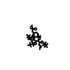 COC(=O)CC1CC[C@@H]2OC([C@H](/C=C/I)O[Si](C)(C)C(C)(C)C)C(O[Si](C)(C)C(C)(C)C)C(O[Si](C)(C)C(C)(C)C)[C@H]2O1